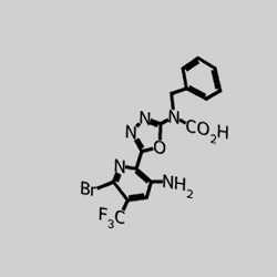 Nc1cc(C(F)(F)F)c(Br)nc1-c1nnc(N(Cc2ccccc2)C(=O)O)o1